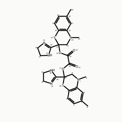 Cc1ccc2c(c1)N(C)CC(OC(=O)C(=O)OC1(C3=NCCN3)CN(C)c3cc(C)ccc3S1)(C1=NCCN1)S2